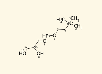 C[N+](C)(C)CCOPOCC(O)CO